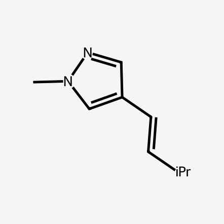 CC(C)/C=C/c1cnn(C)c1